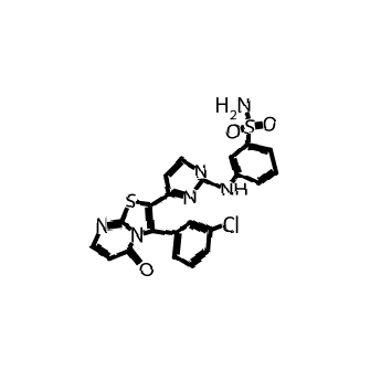 NS(=O)(=O)c1cccc(Nc2nccc(-c3sc4nccc(=O)n4c3-c3cccc(Cl)c3)n2)c1